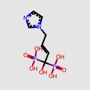 O=P(O)(O)C(O)(C=CCn1ccnc1)P(=O)(O)O